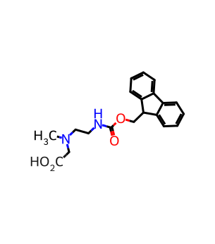 CN(CCNC(=O)OCC1c2ccccc2-c2ccccc21)CC(=O)O